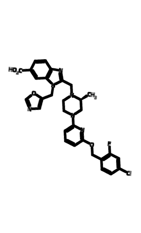 C[C@H]1CN(c2cccc(OCc3ccc(Cl)cc3F)n2)CCN1Cc1nc2ccc(C(=O)O)cc2n1Cc1cnco1